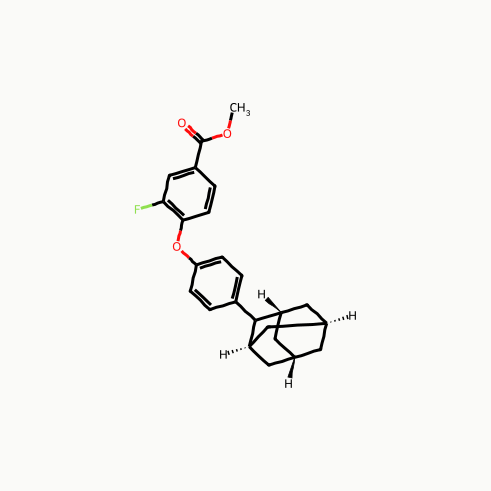 COC(=O)c1ccc(Oc2ccc(C3[C@H]4C[C@@H]5C[C@@H](C[C@H]3C5)C4)cc2)c(F)c1